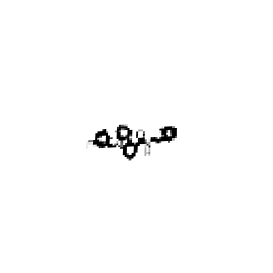 O=C(NCCc1ccccc1)C1CCCc2c1c1ccccc1n2Cc1cccc(F)c1